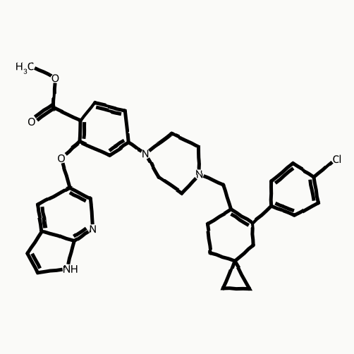 COC(=O)c1ccc(N2CCN(CC3=C(c4ccc(Cl)cc4)CC4(CC3)CC4)CC2)cc1Oc1cnc2[nH]ccc2c1